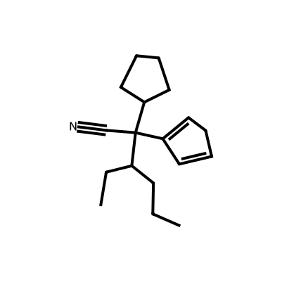 CCCC(CC)C(C#N)(C1=CCC=C1)C1CCCC1